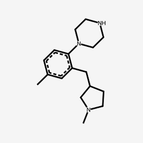 Cc1ccc(N2CCNCC2)c(CC2CCN(C)C2)c1